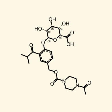 CC(=O)N1CCN(C(=O)OCc2ccc(O[C@@H]3O[C@H](C(=O)O)[C@@H](O)[C@H](O)[C@H]3O)c(C(=O)C(C)C)c2)CC1